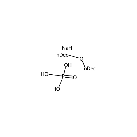 CCCCCCCCCCOCCCCCCCCCC.O=P(O)(O)O.[NaH]